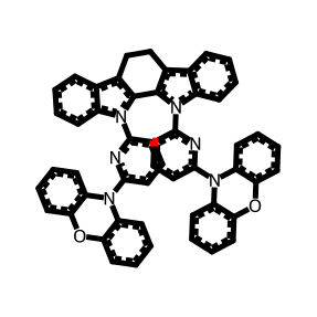 c1cc(N2c3ccccc3Oc3ccccc32)nc(-n2c3c(c4ccccc42)CCc2c-3n(-c3cccc(N4c5ccccc5Oc5ccccc54)n3)c3ccccc23)c1